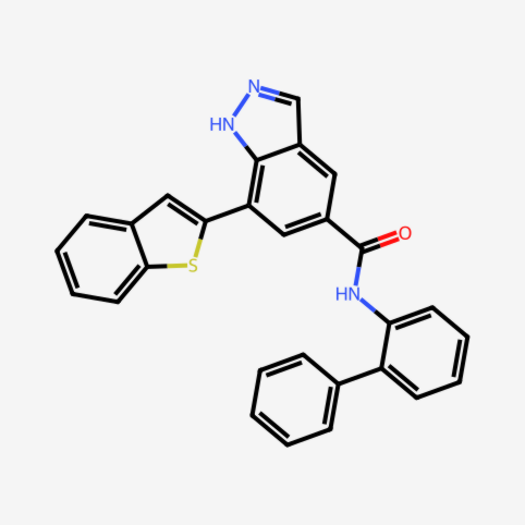 O=C(Nc1ccccc1-c1ccccc1)c1cc(-c2cc3ccccc3s2)c2[nH]ncc2c1